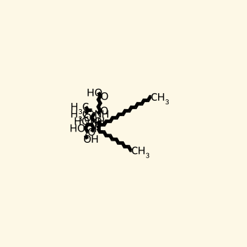 CCCCCCCCCCCCCCCCCC(=O)N(CCCCCCCCCCCC)[C@@H]1O[C@H](CO)[C@@H](O)[C@H](O)[C@H]1NC(=O)[C@H](CC(C)C)NC(=O)CCCC(=O)O